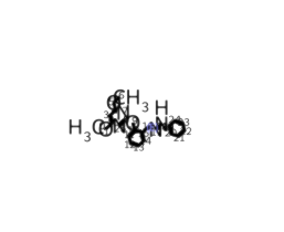 COc1cc(OC)nc(Oc2ccccc2/C=N/Nc2ccccc2)n1